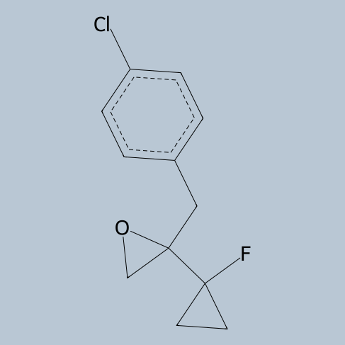 FC1(C2(Cc3ccc(Cl)cc3)CO2)CC1